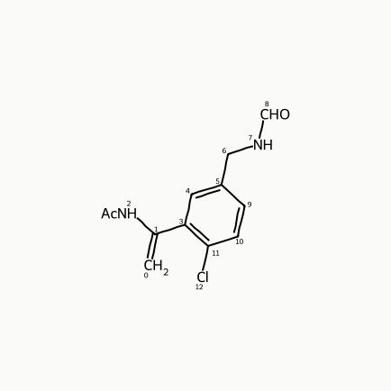 C=C(NC(C)=O)c1cc(CNC=O)ccc1Cl